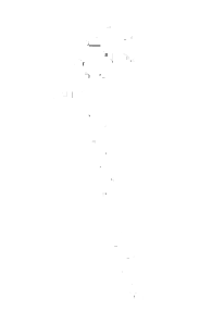 CC(C)(C)C(CCCCCCCCCCCCCCCC(=O)O)C(=O)ON1C(=O)CCC1=O